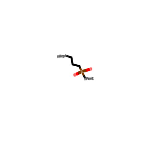 CCCCCCCCCCS(=O)(=O)CCCCC